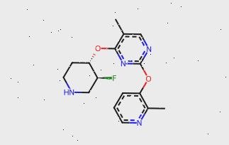 Cc1cnc(Oc2cccnc2C)nc1O[C@H]1CCNC[C@@H]1F